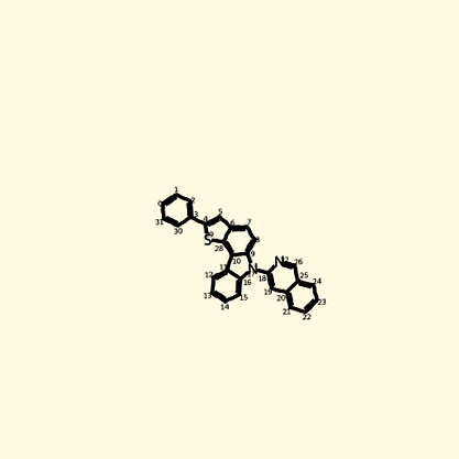 c1ccc(-c2cc3ccc4c(c5ccccc5n4-c4cc5ccccc5cn4)c3s2)cc1